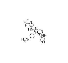 CC1(Nc2ncc3nc(Nc4ccnc(C(F)(F)F)c4)n([C@H]4CC[C@@H](CN)CC4)c3n2)CCOCC1